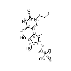 CCCn1cc([C@@H]2O[C@H](COP(=O)(Cl)Cl)[C@H](O)C2O)c(=O)[nH]c1=O